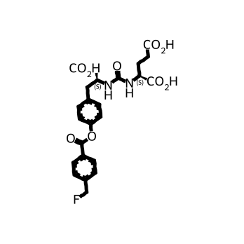 O=C(O)CC[C@H](NC(=O)N[C@@H](Cc1ccc(OC(=O)c2ccc(CF)cc2)cc1)C(=O)O)C(=O)O